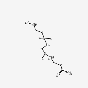 CC(C)NCCC(C)(C)OCC(C)NCCC(N)=O